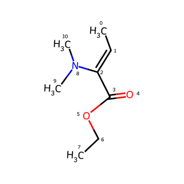 CC=C(C(=O)OCC)N(C)C